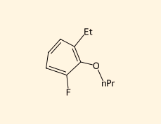 CCCOc1c(F)cccc1CC